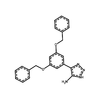 Nc1[nH]nnc1-c1cc(OCc2ccccc2)cc(OCc2ccccc2)c1